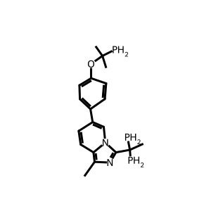 Cc1nc(C(C)(P)P)n2cc(-c3ccc(OC(C)(C)P)cc3)ccc12